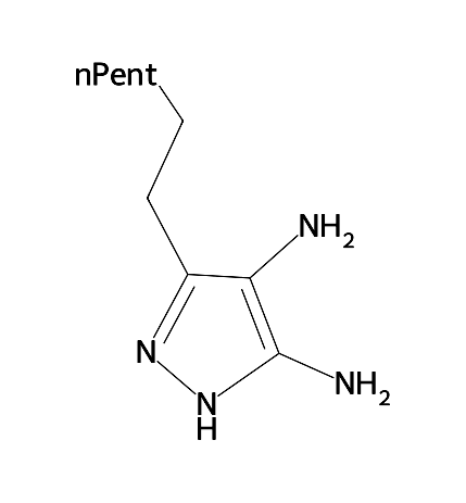 CCCCCCCc1n[nH]c(N)c1N